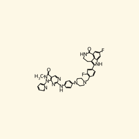 Cn1c(=O)c2cnc(Nc3ccc(N4CCN(Cc5ccc(-c6[nH]c7cc(F)cc8c7c6CCNC8=O)cc5F)CC4)cc3)nc2n1-c1ccccn1